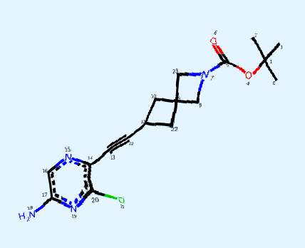 CC(C)(C)OC(=O)N1CC2(CC(C#Cc3ncc(N)nc3Cl)C2)C1